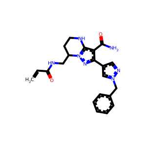 C=CC(=O)NCC1CCNc2c(C(N)=O)c(-c3cnn(Cc4ccccc4)c3)nn21